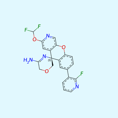 NC1=N[C@@]2(COC1)c1cc(-c3cccnc3F)ccc1Oc1cnc(OC(F)F)cc12